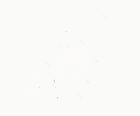 CC[C@H](C)[C@H](NC(=O)[C@H](CCCCN)NC(=O)[C@@H]1CCCN1C(=O)[C@@H](N)C(C)C)C(=O)N1CCC[C@H]1C(=O)N1CCC[C@H]1C(=O)N1CCC[C@H]1C(=O)O